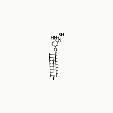 FC(F)(F)C(F)(F)C(F)(F)C(F)(F)C(F)(F)C(F)(F)C(F)(F)C(F)(F)COc1ccc2[nH]c(S)nc2c1